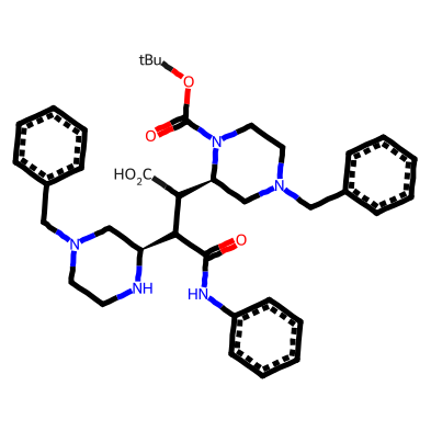 CC(C)(C)OC(=O)N1CCN(Cc2ccccc2)C[C@H]1C(C(=O)O)C(C(=O)Nc1ccccc1)[C@@H]1CN(Cc2ccccc2)CCN1